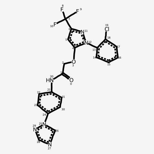 O=C(COc1cc(C(F)(F)F)nn1-c1ccccc1Cl)Nc1ccc(-n2cncn2)cc1